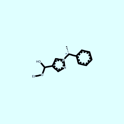 CCOC(O)c1cnn([C@H](C)c2ccccc2)c1